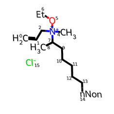 C=CC[N+](C)(OCC)C(C)CCCCCCCCCCCCCC.[Cl-]